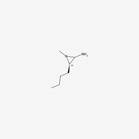 CCCC[C@@H]1C(N)N1C